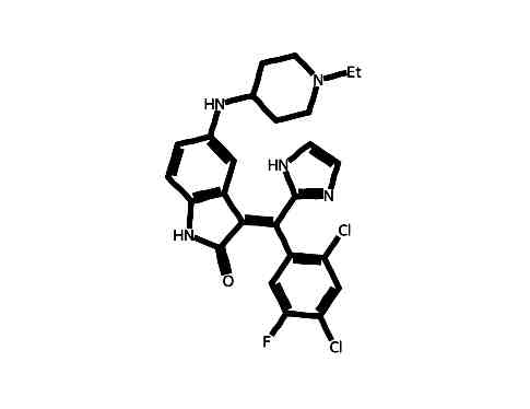 CCN1CCC(Nc2ccc3c(c2)C(=C(c2ncc[nH]2)c2cc(F)c(Cl)cc2Cl)C(=O)N3)CC1